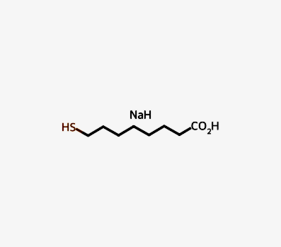 O=C(O)CCCCCCCS.[NaH]